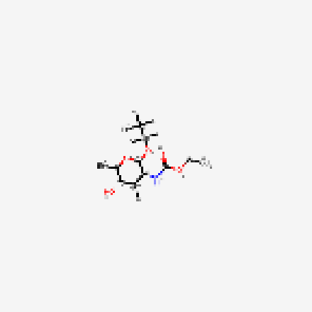 CCC1O[C@@H](O[Si](C)(C)C(C)(C)C(C)C)C(NC(=O)OCC(Cl)(Cl)Cl)[C@@H](C)[C@@H]1O